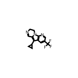 FC(F)(F)c1cnc2c(c1)c(C1CC1)c1n2CCN=C1